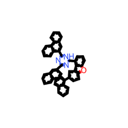 c1ccc2cc(C3=NC(c4cccc5oc6ccc(-c7cccc8ccccc78)cc6c45)NC(c4cc5ccccc5c5ccccc45)=N3)ccc2c1